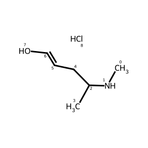 CNC(C)CC=CO.Cl